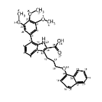 COc1cc(-c2cccc3c(CCCOc4cccc5ccccc45)c(C(=O)O)[nH]c23)cc(OC)c1OC